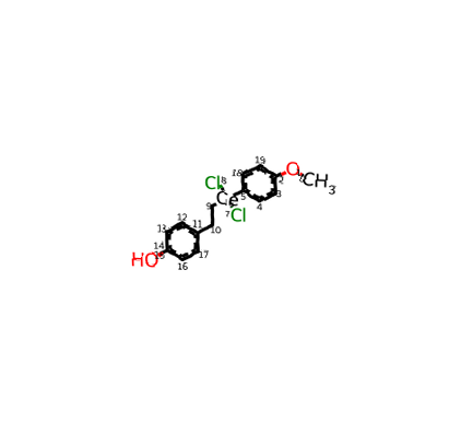 COc1cc[c]([Ge]([Cl])([Cl])[CH2]Cc2ccc(O)cc2)cc1